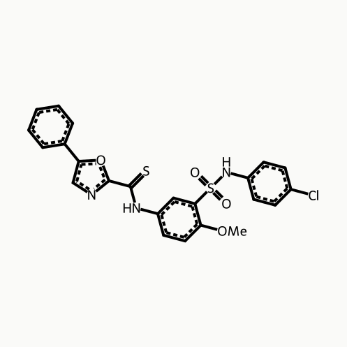 COc1ccc(NC(=S)c2ncc(-c3ccccc3)o2)cc1S(=O)(=O)Nc1ccc(Cl)cc1